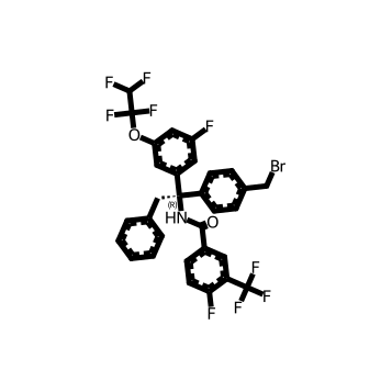 O=C(N[C@](Cc1ccccc1)(c1ccc(CBr)cc1)c1cc(F)cc(OC(F)(F)C(F)F)c1)c1ccc(F)c(C(F)(F)F)c1